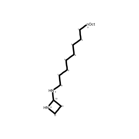 CCCCCCCCCCCCCCCCNC1CCN1